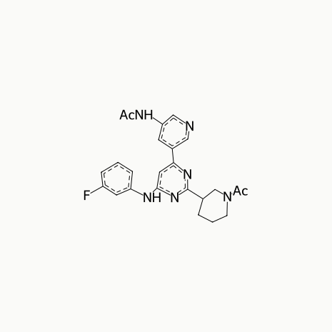 CC(=O)Nc1cncc(-c2cc(Nc3cccc(F)c3)nc(C3CCCN(C(C)=O)C3)n2)c1